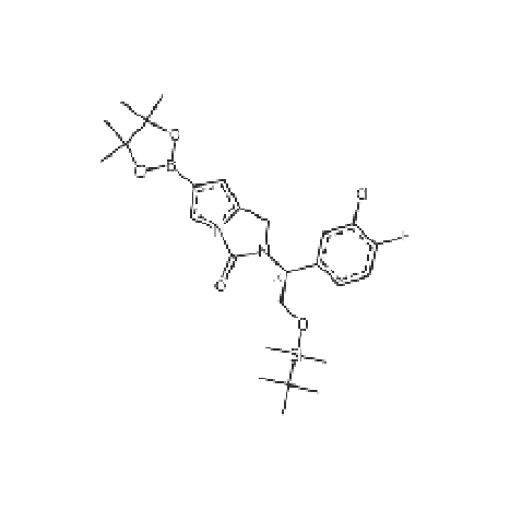 CC1(C)OB(c2cc3n(c2)C(=O)N([C@H](CO[Si](C)(C)C(C)(C)C)c2ccc(F)c(Cl)c2)C3)OC1(C)C